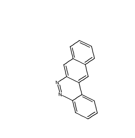 c1ccc2cc3c(cc2c1)nnc1ccccc13